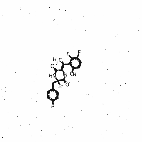 CCC1(Cc2ccc(F)cc2)NC(=O)C(=C(C)c2c(C#N)ccc(F)c2F)NC1=O